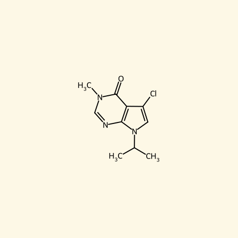 CC(C)n1cc(Cl)c2c(=O)n(C)cnc21